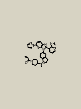 C=CC(=O)N1CCC(N(C)[C@H]2CCc3cc(-n4c(-c5cccnc5N)nc5ccc(-n6cccn6)nc54)ccc32)CC1